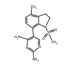 Cc1ccc(-c2cnc(N)nc2N)c2c1CCN2S(C)(=O)=O